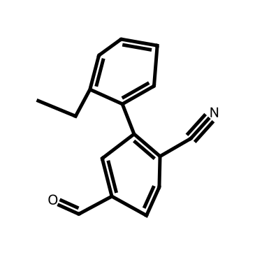 CCc1ccccc1-c1cc(C=O)ccc1C#N